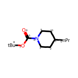 [CH2]CCC1CCN(C(=O)OC(C)(C)C)CC1